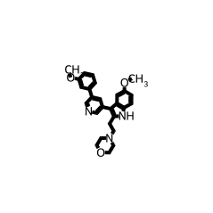 COc1cccc(-c2cncc(-c3c(CCN4CCOCC4)[nH]c4ccc(OC)cc34)c2)c1